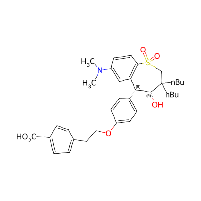 CCCCC1(CCCC)CS(=O)(=O)c2ccc(N(C)C)cc2[C@@H](c2ccc(OCCc3ccc(C(=O)O)cc3)cc2)[C@H]1O